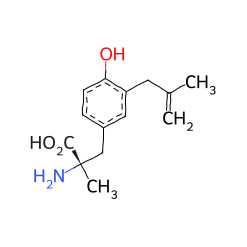 C=C(C)Cc1cc(C[C@](C)(N)C(=O)O)ccc1O